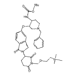 CC(C)(C)OC(=O)NC1CCN(Cc2ccccc2)CC1Oc1ccc2c(c1)CN(C1CCC(=O)N(COCC[Si](C)(C)C)C1=O)C2=O